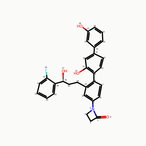 O=C1CCN1c1ccc(-c2ccc(-c3cccc(O)c3)cc2O)c(CC[C@H](O)c2ccccc2F)c1